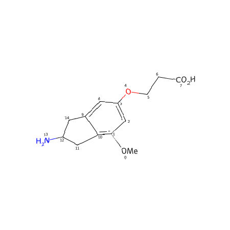 COc1cc(OCCC(=O)O)cc2c1CC(N)C2